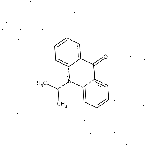 CC(C)n1c2ccccc2c(=O)c2ccccc21